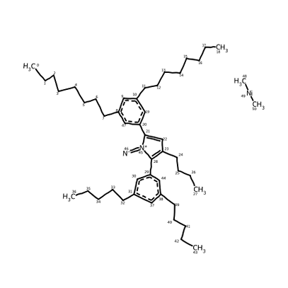 CCCCCCCCc1cc(CCCCCCCC)cc(C2=CC(CCCC)=C(c3cc(CCCCC)cc(CCCCC)c3)[N+]2=[N-])c1.[CH3][Ni][CH3]